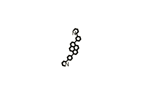 c1ccc(-c2ccc(-c3ccc4ccc5c(-c6cccc(-c7ccccn7)c6)ccc6ccc3c4c65)cc2)nc1